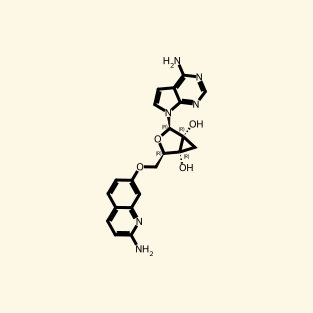 Nc1ccc2ccc(OC[C@H]3O[C@@H](n4ccc5c(N)ncnc54)[C@@]4(O)C[C@@]34O)cc2n1